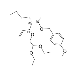 C=C[C@@H](OCC(OCC)OCC)[C@H](CCCC)[C@H](C)OCc1ccc(OC)cc1